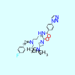 C=CCN(CCC[C@H](NC(=O)c1ccc(-n2ccnn2)cc1)C(=O)N1CC(N(C)C)C1)[C@@H]1C[C@H]1c1ccc(F)cc1